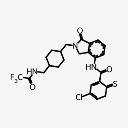 O=C(Nc1cccc2c1CN(CC1CCC(CNC(=O)C(F)(F)F)CC1)C2=O)C1=CC(Cl)=CCC1=S